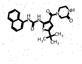 CC(C)(C)c1cc(C(=O)N2[CH]C(=O)NCC2)c(NC(=O)Nc2cccc3ccccc23)s1